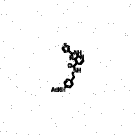 CC(=O)Nc1ccc(CCNC(=O)c2ccnc3[nH]c(-c4ccsc4)nc23)cc1